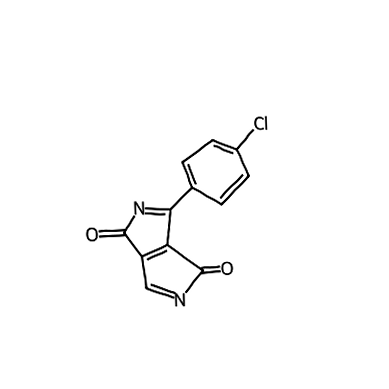 O=c1nc(-c2ccc(Cl)cc2)c2c(=O)ncc1=2